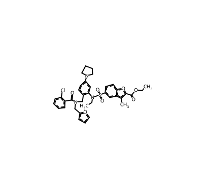 CCOC(=O)c1oc2ccc(S(=O)(=O)N(CC)c3cc(N4CCCC4)ccc3CN(Cc3ccco3)C(=O)c3ccccc3Cl)cc2c1C